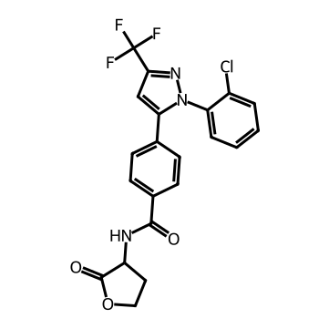 O=C(NC1CCOC1=O)c1ccc(-c2cc(C(F)(F)F)nn2-c2ccccc2Cl)cc1